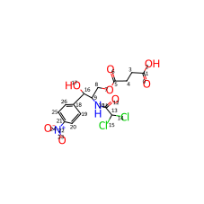 O=C(O)CCC(=O)OCC(NC(=O)C(Cl)Cl)C(O)c1ccc([N+](=O)[O-])cc1